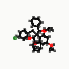 COc1cc(OC)c(C(Cc2ccc(Cl)cc2)(C(=O)c2ccccc2)C(=O)c2ccccc2)c(OC)c1